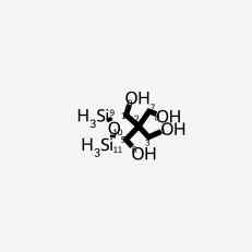 OCC(CO)(CO)CO.[SiH3]O[SiH3]